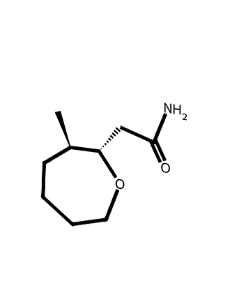 C[C@@H]1CCCCO[C@H]1CC(N)=O